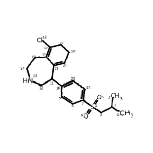 CC(C)CS(=O)(=O)c1ccc(C2CNCCC3=C(Cl)CCC=C32)cc1